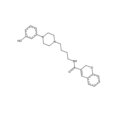 O=C(NCCCCN1CCN(c2cccc(O)c2)CC1)C1=Cc2ccccc2OC1